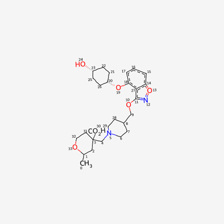 CC1CC(CN2CCC(COc3noc4cccc(O[C@H]5CC[C@@H](O)CC5)c34)CC2)(C(=O)O)CCO1